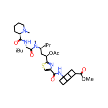 CC[C@H](C)[C@H](NC(=O)[C@H]1CCCCN1C)C(=O)N(C)[C@H](C[C@@H](OC(C)=O)c1nc(C(=O)NC23C4C5C2C2C3C4C52C(=O)OC)cs1)C(C)C